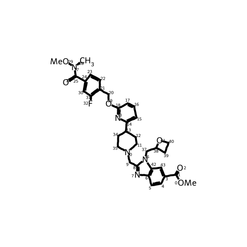 COC(=O)c1ccc2nc(CN3CCC(c4cccc(OCc5ccc(C(=O)N(C)OC)cc5F)n4)CC3)n(CC3CCO3)c2c1